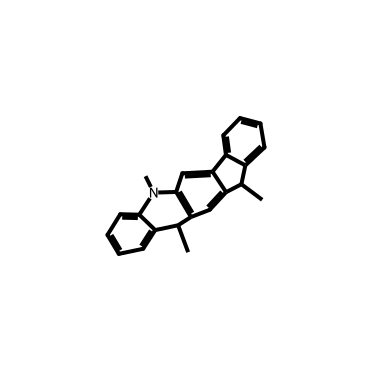 CC1c2ccccc2-c2cc3c(cc21)C(C)c1ccccc1N3C